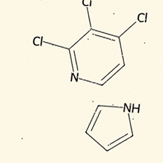 Clc1ccnc(Cl)c1Cl.c1cc[nH]c1